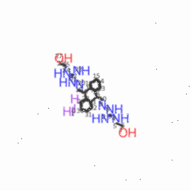 I.I.N=C(NCCO)NN=CC1c2ccccc2C(C=NNC(=N)NCCO)c2ccccc21